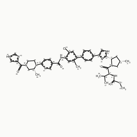 COC(=O)N[C@H](C(=O)N1C[C@@H](C)C[C@H]1c1nc(-c2ccc(-c3cc(Cl)c(NC(=O)c4ccc(N5CCN(C(=O)c6c[nH]cn6)C[C@H]5C)nc4)cc3C)cc2)c[nH]1)C(C)C